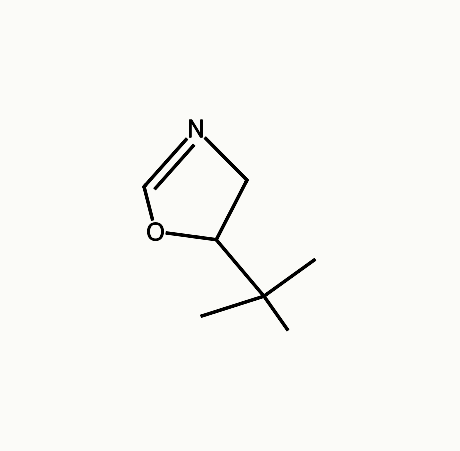 CC(C)(C)C1CN=CO1